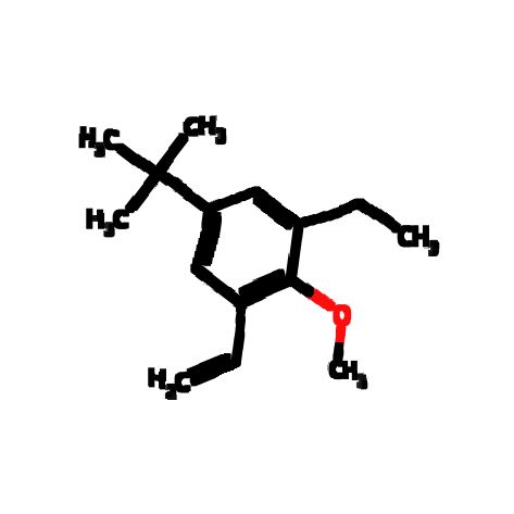 C=Cc1cc(C(C)(C)C)cc(CC)c1OC